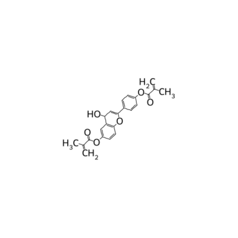 C=C(C)C(=O)Oc1ccc(C2=CC(O)c3cc(OC(=O)C(=C)C)ccc3O2)cc1